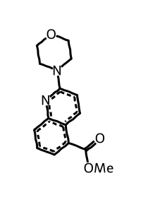 COC(=O)c1cccc2nc(N3CCOCC3)ccc12